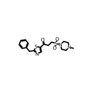 CN1CCN(S(=O)(=O)CCC(=O)c2[c]nc(Cc3ccccc3)s2)CC1